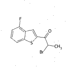 CC(Br)C(=O)c1cc2c(F)cccc2s1